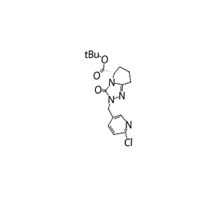 CC(C)(C)OC(=O)[C@@H]1CCCc2nn(Cc3ccc(Cl)nc3)c(=O)n21